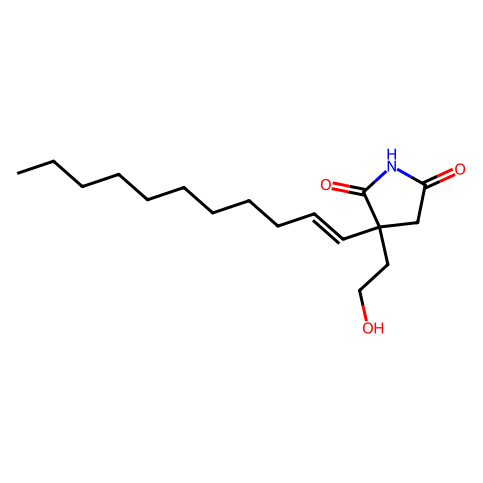 CCCCCCCCCC=CC1(CCO)CC(=O)NC1=O